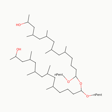 CCCCCOC(CCCC(C)CC(C)CC(C)CC(C)CC(C)O)OC(CCCC(C)CC(C)CC(C)CC(C)CC(C)O)OCCCCC